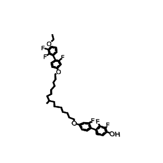 CCOc1ccc(-c2ccc(OCCCCCCCC(C)CCCCCCCOc3ccc(-c4ccc(O)c(F)c4F)c(F)c3)cc2F)c(F)c1F